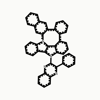 c1ccc(-c2nc3ccccc3nc2-n2c3cccc4c5ccccc5c5cc6ccccc6cc5n5c6ccccc6c2c5c43)cc1